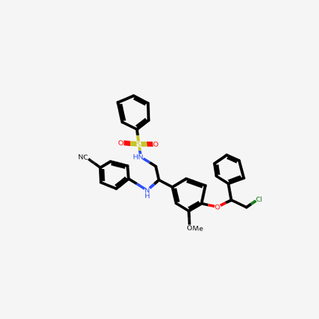 COc1cc(C(CNS(=O)(=O)c2ccccc2)Nc2ccc(C#N)cc2)ccc1OC(CCl)c1ccccc1